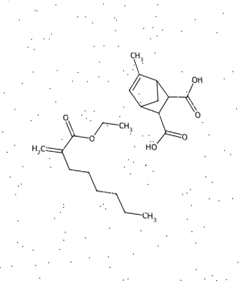 C=C(CCCCCC)C(=O)OCC.CC1=CC2CC1C(C(=O)O)C2C(=O)O